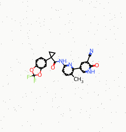 Cc1ccc(NC(=O)C2(c3ccc4c(c3)OC(F)(F)O4)CC2)nc1-c1c[nH]c(=O)c(C#N)c1